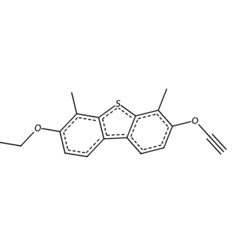 C#COc1ccc2c(sc3c(C)c(OCC)ccc32)c1C